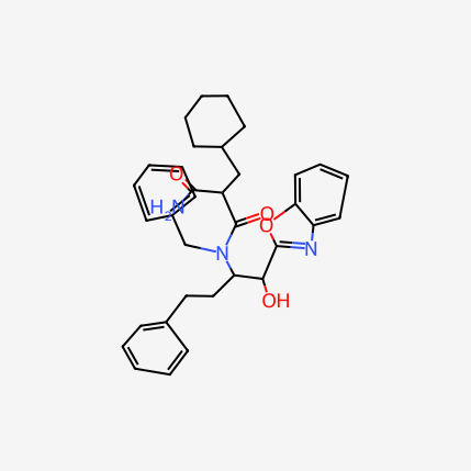 NC(=O)C(CC1CCCCC1)C(=O)N(Cc1ccccc1)C(CCc1ccccc1)C(O)c1nc2ccccc2o1